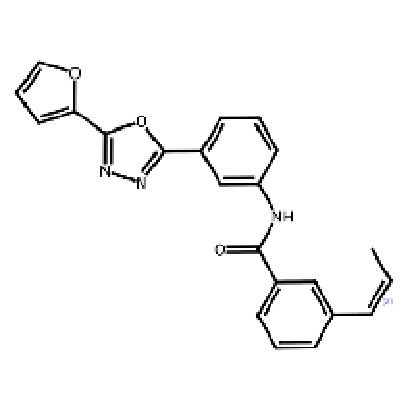 C/C=C\c1cccc(C(=O)Nc2cccc(-c3nnc(-c4ccco4)o3)c2)c1